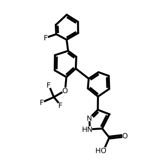 O=C(O)c1cc(-c2cccc(-c3cc(-c4ccccc4F)ccc3OC(F)(F)F)c2)n[nH]1